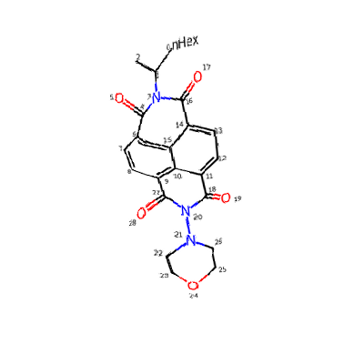 CCCCCCC(C)N1C(=O)c2ccc3c4c(ccc(c24)C1=O)C(=O)N(N1CCOCC1)C3=O